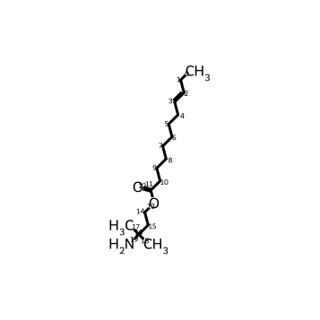 CC/C=C/CCCCCCCC(=O)OCCC(C)(C)N